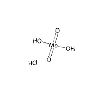 Cl.[O]=[Mo](=[O])([OH])[OH]